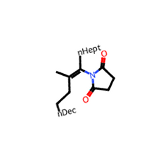 CCCCCCCCCCCCC(C)=C(CCCCCCC)N1C(=O)CCC1=O